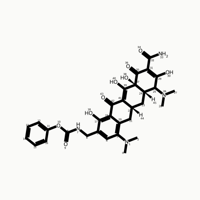 CN(C)c1cc(CNC(=O)Oc2ccccc2)c(O)c2c1C[C@H]1C[C@H]3C(N(C)C)C(O)=C(C(N)=O)C(=O)[C@@]3(O)C(O)=C1C2=O